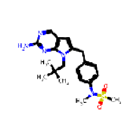 CN(c1ccc(Cc2cc3cnc(N)nc3n2CC(C)(C)C)cc1)S(C)(=O)=O